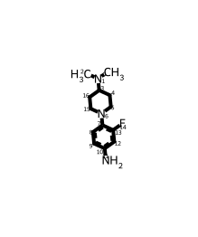 CN(C)C1CCN(c2ccc(N)cc2F)CC1